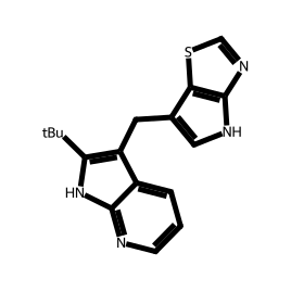 CC(C)(C)c1[nH]c2ncccc2c1Cc1c[nH]c2ncsc12